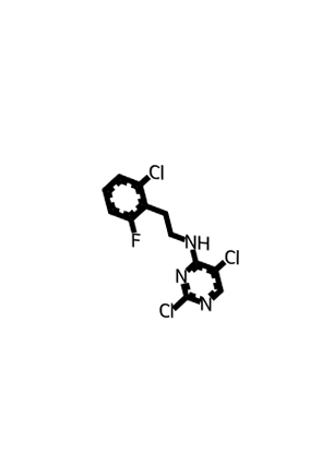 Fc1cccc(Cl)c1CCNc1nc(Cl)ncc1Cl